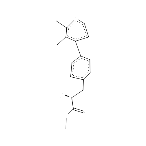 COC(=O)[C@@H](N)Cc1ccc(-c2ccnc(C)c2C)cc1